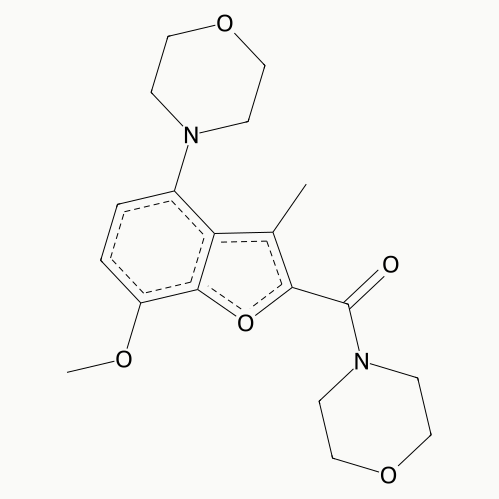 COc1ccc(N2CCOCC2)c2c(C)c(C(=O)N3CCOCC3)oc12